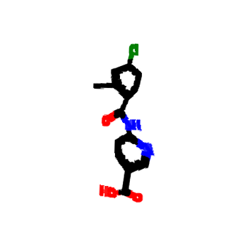 Cc1cc(Cl)ccc1C(=O)Nc1ccc(C(=O)O)cn1